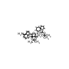 CC(C)(C)OC(=O)N1CCCC12CCCN(C[C@H]1O[C@@H](n3ccc4c(N)ncnc43)[C@@H]3OC(C)(C)O[C@@H]31)C2